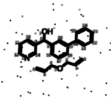 C=CCOCC=C.OC(c1cccnc1)c1cccc(-c2ccccc2)c1